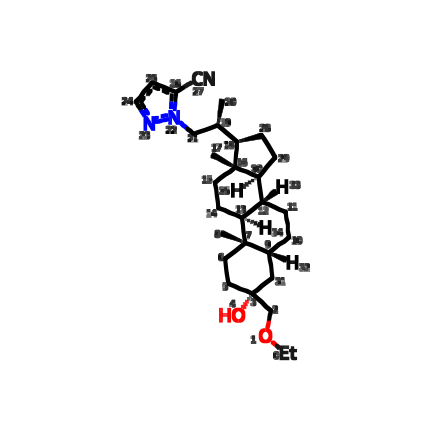 CCOC[C@@]1(O)CC[C@@]2(C)[C@H](CC[C@@H]3[C@@H]2CC[C@]2(C)[C@@H]([C@H](C)Cn4nccc4C#N)CC[C@@H]32)C1